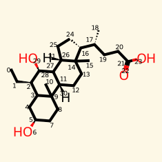 CC[C@@H]1C2C[C@H](O)CCC2(C)[C@H]2CCC3(C)[C@@H]([C@H](C)CCC(=O)O)CC[C@H]3C2[C@@H]1O